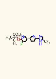 CC(C)(COc1ncc(-c2ccc(-c3ncc(C(F)(F)F)[nH]3)nc2)cc1F)C(=O)O